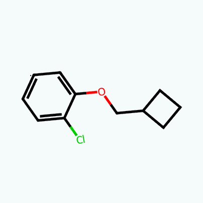 Clc1cc[c]cc1OCC1CCC1